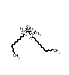 CCCC/C=C\CCCCCCCC(=O)OCC(COC)(COC(=O)CCCCCCC/C=C\CCCC)[N+](C)(C)C